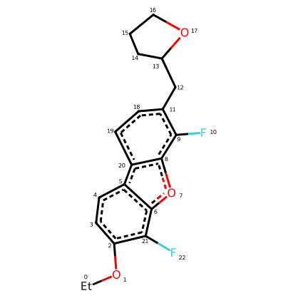 CCOc1ccc2c(oc3c(F)c(CC4CCCO4)ccc32)c1F